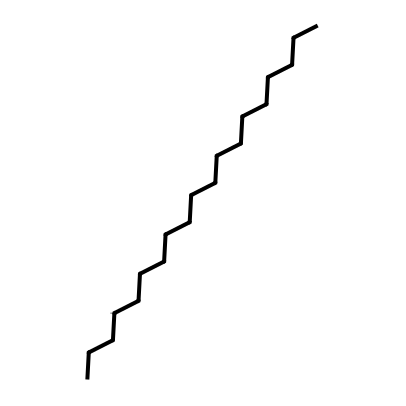 CCC[CH]CCCCCCCCCCCCCCC